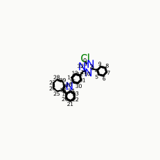 Clc1nc(-c2ccccc2)nc(-c2ccc(-n3c4c(c5ccccc53)CC=CC=C4)cc2)n1